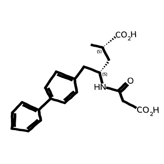 C[C@@H](C[C@@H](Cc1ccc(-c2ccccc2)cc1)NC(=O)CC(=O)O)C(=O)O